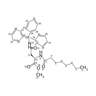 CCCCCCCC(=O)N[C@H](CC(=O)NC(c1ccccc1)(c1ccccc1)c1ccccc1)C(=O)OC